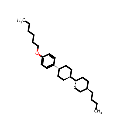 CCCCCCOc1ccc([C@H]2CC[C@H]([C@H]3CC[C@H](CCCC)CC3)CC2)cc1